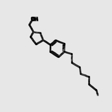 CCCCCCCCc1ccc(C2CCC(CO)C2)cc1